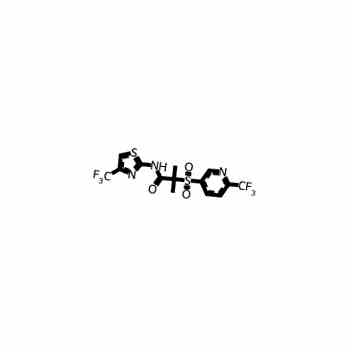 CC(C)(C(=O)Nc1nc(C(F)(F)F)cs1)S(=O)(=O)c1ccc(C(F)(F)F)nc1